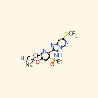 CC[S@@](=N)(=O)c1cc(OC(C)(C)C#N)cnc1-c1cn2cnc(SC(F)(F)F)cc2n1